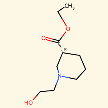 CCOC(=O)[C@@H]1CCCN(CCO)C1